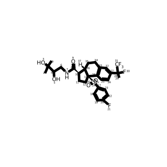 CC(C)(O)C(O)CNC(=O)[C@@H]1CC[C@@]2(S(=O)(=O)c3ccc(F)cc3)c3ccc(C(C)(F)C(F)(F)F)cc3CC[C@@H]12